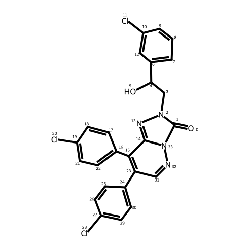 O=c1n(CC(O)c2cccc(Cl)c2)nc2c(-c3ccc(Cl)cc3)c(-c3ccc(Cl)cc3)cnn12